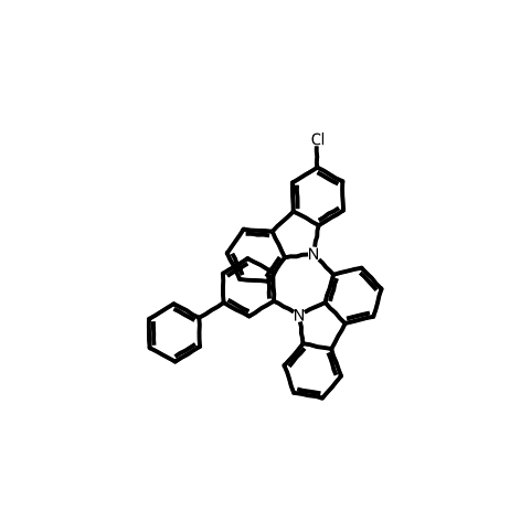 Clc1ccc2c(c1)c1ccccc1n2-c1cccc2c3ccccc3n(-c3cccc(-c4ccccc4)c3)c12